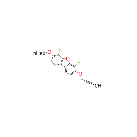 CC#CCOc1ccc2c(oc3c(F)c(OCCCCCC)ccc32)c1F